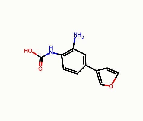 Nc1cc(-c2ccoc2)ccc1NC(=O)O